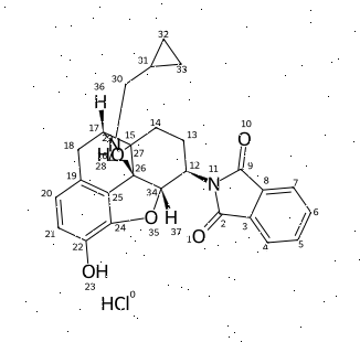 Cl.O=C1c2ccccc2C(=O)N1[C@@H]1CCC2(O)[C@H]3Cc4ccc(O)c5c4[C@@]2(CCN3CC2CC2)[C@H]1O5